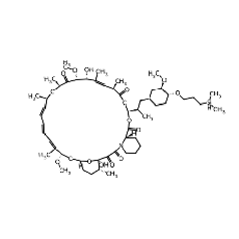 CO[C@H]1C[C@@H]2CC[C@@H](C)[C@@](O)(O2)C(=O)C(=O)N2CCCC[C@H]2C(=O)O[C@H](C(C)C[C@@H]2CC[C@@H](OCCC[SiH](C)C)[C@H](OC)C2)CC(=O)[C@H](C)/C=C(\C)[C@@H](O)[C@@H](OC)C(=O)[C@H](C)C[C@H](C)/C=C/C=C/C=C/1C